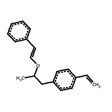 C=Cc1ccc(CC(C)OC=Cc2ccccc2)cc1